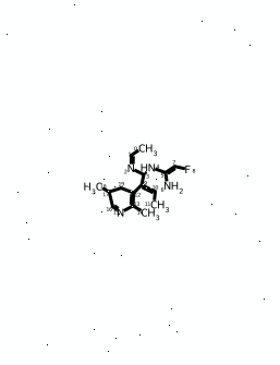 C/C=N\[C@@H](N/C(N)=C/F)/C(=C/C)C1=C(C)N=CC(C)C1